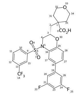 O=C(O)C1(C[C@H]2CN(S(=O)(=O)c3cccc(C(F)(F)F)c3)c3cc(-c4cc(F)cc(F)c4)ccc3O2)CCOCC1